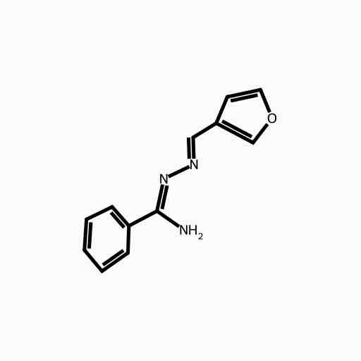 NC(=N/N=C/c1ccoc1)c1ccccc1